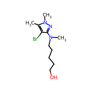 Cc1c(Br)c(N(C)CCCCCO)nn1C